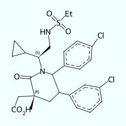 CCS(=O)(=O)NC[C@H](C1CC1)N1C(=O)[C@@](C)(CC(=O)O)CC(c2cccc(Cl)c2)C1c1ccc(Cl)cc1